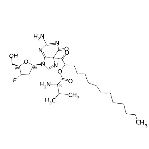 CCCCCCCCCCCCC(OC(=O)[C@@H](N)C(C)C)C(=O)C12N=CN([C@H]3CC(F)[C@@H](CO)O3)C1=NC(N)=NC2=O